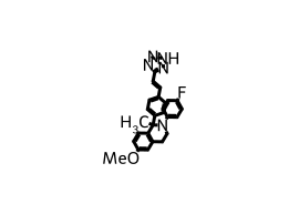 COc1ccc2c(c1)CCN(c1ccc(F)cc1)C2(C)c1ccc(C=Cc2nn[nH]n2)cc1